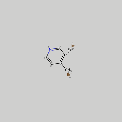 Cc1ccncc1.[Br-].[Br-].[Fe+2]